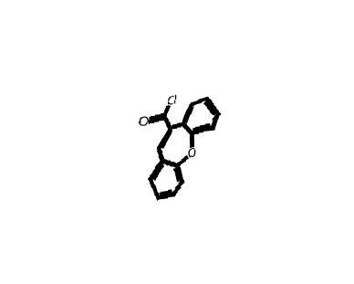 O=C(Cl)C1=Cc2ccccc2Oc2ccccc21